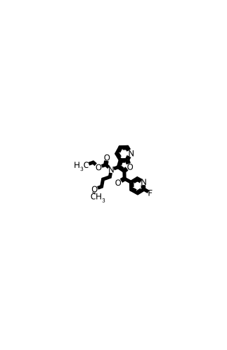 CCOC(=O)N(CCCOC)c1c(C(=O)c2ccc(F)nc2)oc2ncccc12